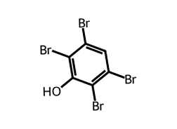 Oc1c(Br)c(Br)cc(Br)c1Br